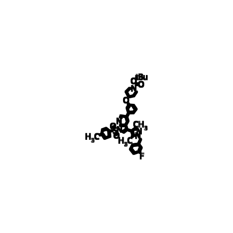 Cc1ccc(S(=O)(=O)n2cc(-c3c(C)nn(Cc4cccc(F)c4)c3C)c3cc(-c4cccc(OC5CCN(C(=O)OC(C)(C)C)CC5)c4)cnc32)cc1